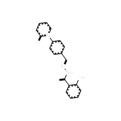 O=C(N/N=C/c1ccc(-n2ccccc2=O)cc1)c1ccccc1O